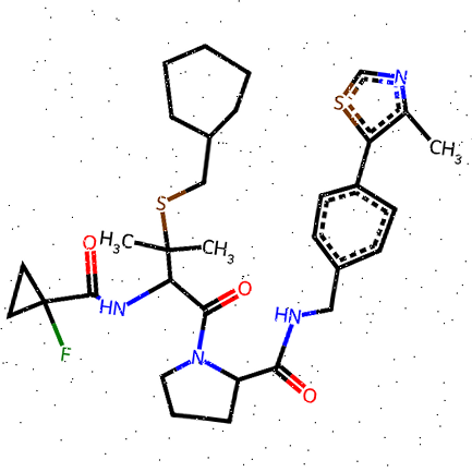 Cc1ncsc1-c1ccc(CNC(=O)C2CCCN2C(=O)C(NC(=O)C2(F)CC2)C(C)(C)SCC2CCCCC2)cc1